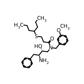 CCCC(CCC)SCCC(=O)N(Cc1cccc(OC)c1)C[C@@H](O)[C@@H](N)Cc1ccccc1